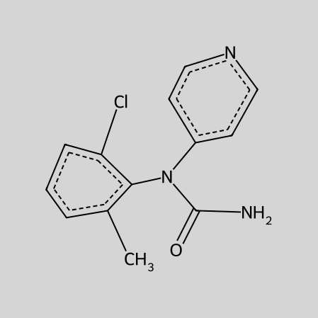 Cc1cccc(Cl)c1N(C(N)=O)c1ccncc1